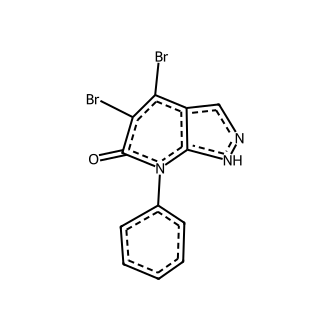 O=c1c(Br)c(Br)c2cn[nH]c2n1-c1ccccc1